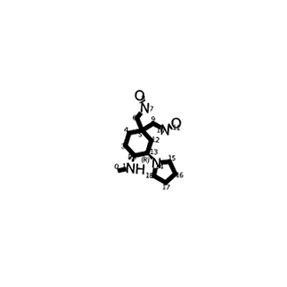 CN[C@@H]1CCC(CN=O)(CN=O)C[C@H]1N1CCCC1